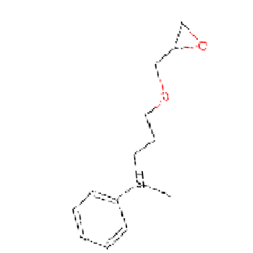 C[SiH](CCCOCC1CO1)c1ccccc1